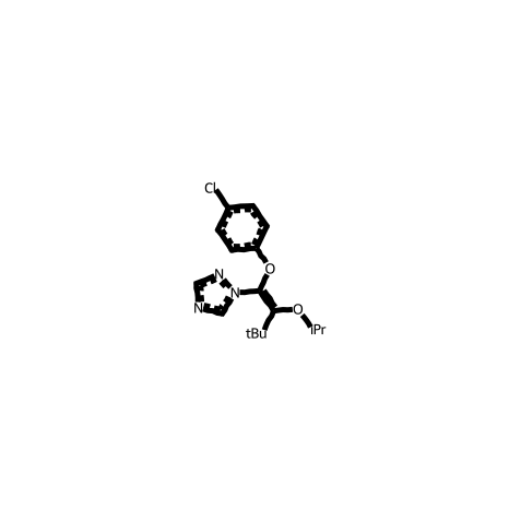 CC(C)OC(=C(Oc1ccc(Cl)cc1)n1cncn1)C(C)(C)C